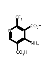 Nc1c(C(=O)O)cnc(C(F)(F)F)c1C(=O)O